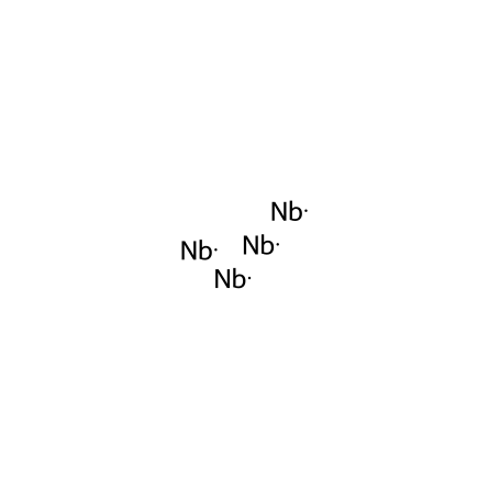 [Nb].[Nb].[Nb].[Nb]